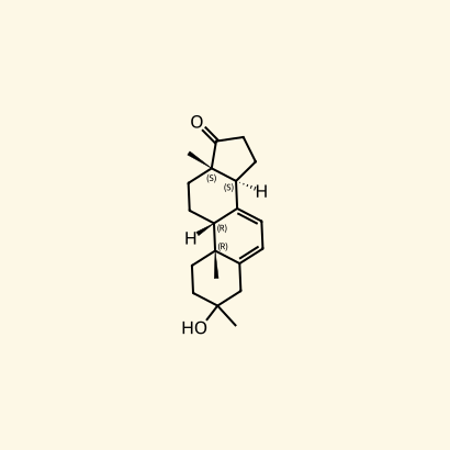 CC1(O)CC[C@@]2(C)C(=CC=C3[C@H]2CC[C@]2(C)C(=O)CC[C@@H]32)C1